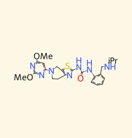 COc1cc(N2CCc3nc(NC(=O)Nc4ccccc4CNC(C)C)sc3C2)nc(OC)n1